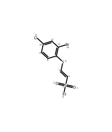 CCS(=O)(=O)/C=C/Sc1ccc(Cl)cc1Br